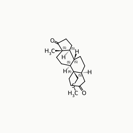 CSC[C@]12CCC(=O)C[C@@H]1CC[C@@H]1[C@@H]2CC[C@]2(C)C(=O)CC[C@@H]12